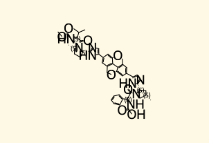 COC(=O)N[C@H](C(=O)N1[C@@H](C)CC[C@H]1c1ncc(-c2cc3c4c(c2)OCc2cc(-c5cnc([C@@H]6C[C@H](C)CN6C(=O)[C@H](NC(=O)O)c6ccccc6)[nH]5)cc(c2-4)OC3)[nH]1)C(C)C